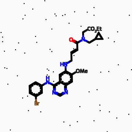 CCOC(=O)CN(CC1CC1)C(=O)C=CCNc1cc2c(Nc3cccc(Br)c3)ncnc2cc1OC